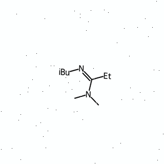 CCC(=NC(C)CC)N(C)C